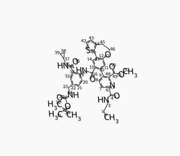 CCCNC(=O)c1ccc(-c2cc3c(cc2C(=O)Nc2ccc(CNC(=O)OC(C)(C)C)cc2C(=O)NC2CC2)-c2sccc2CCO3)c(C(=O)OC)n1